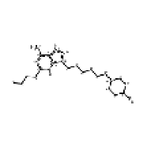 CCCCc1nc(N)c2[nH]nc(CCCCCCN3CCC(F)CC3)c2n1